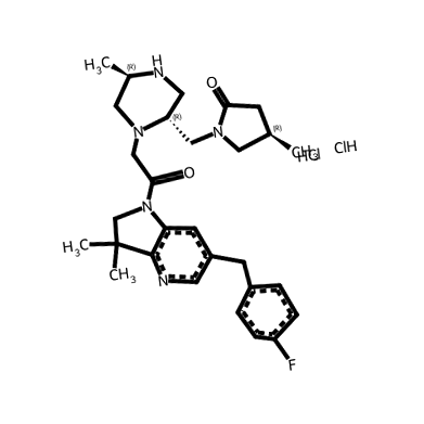 C[C@@H]1CC(=O)N(C[C@H]2CN[C@H](C)CN2CC(=O)N2CC(C)(C)c3ncc(Cc4ccc(F)cc4)cc32)C1.Cl.Cl